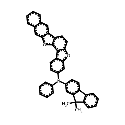 CC1(C)c2ccccc2-c2ccc(N(c3ccccc3)c3ccc4c(c3)oc3ccc5c6cc7ccccc7cc6oc5c34)cc21